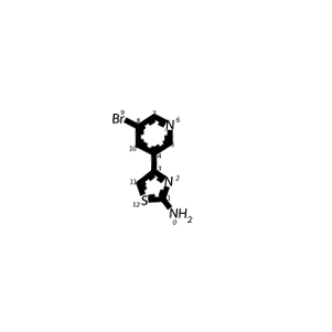 Nc1nc(-c2cncc(Br)c2)cs1